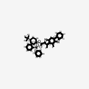 CC1=c2c(cc3c(c2C)N=c2ccccc2=3)N=C1C(=O)O[C@]1(O[SiH](c2ccccc2)c2ccccc2)CC[C@H](C(C)(C)C)CC1